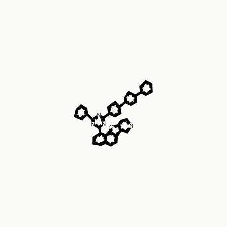 c1ccc(-c2ccc(-c3ccc(-c4nc(-c5ccccc5)nc(-c5cccc6ccc7c8cnccc8oc7c56)n4)cc3)cc2)cc1